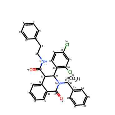 O=C(NCCc1ccccc1)C1c2ccccc2C(=O)N([C@H](C(=O)O)c2ccccc2)C1c1ccc(Cl)cc1Cl